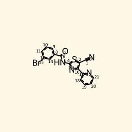 N#Cc1sc(NC(=O)c2cccc(Br)c2)nc1-c1ccccn1